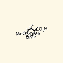 CO[Si](C[C@H](C)CC(=O)O)(OC)OC